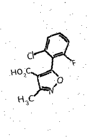 Cc1noc(-c2c(F)cccc2Cl)c1C(=O)O